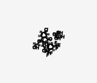 O=C(Nc1cc(C(F)(F)F)cc(C(F)(F)F)c1)c1cc(Cl)ccc1N(OCCO)OCCO.O=P(O)(O)O